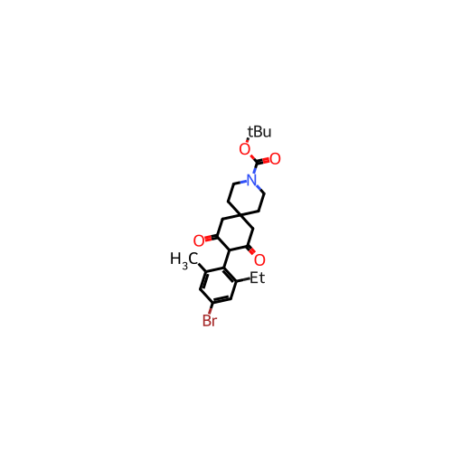 CCc1cc(Br)cc(C)c1C1C(=O)CC2(CCN(C(=O)OC(C)(C)C)CC2)CC1=O